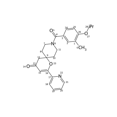 Cc1cc(C(=O)N2CCC3(CC2)CC(=O)C=C(c2ccccn2)O3)ccc1OC(C)C